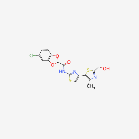 Cc1nc(CO)sc1-c1csc(NC(=O)C2Oc3ccc(Cl)cc3O2)n1